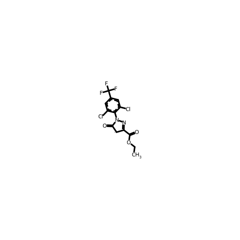 CCOC(=O)C1=NN(c2c(Cl)cc(C(F)(F)F)cc2Cl)C(=O)[CH]1